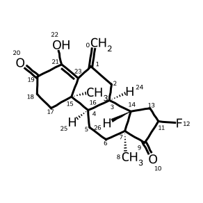 C=C1C[C@@H]2[C@@H](CC[C@]3(C)C(=O)C(F)C[C@@H]23)[C@@]2(C)CCC(=O)C(O)=C12